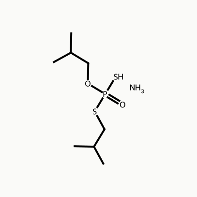 CC(C)COP(=O)(S)SCC(C)C.N